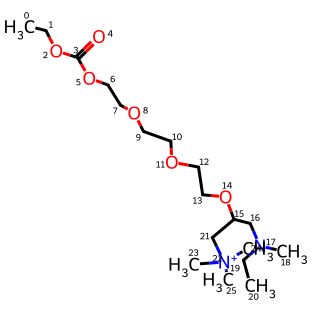 CCOC(=O)OCCOCCOCCOC(CN(C)CC)C[N+](C)(C)C